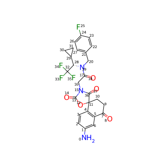 Nc1ccc2c(c1)C(=O)CCC21OC(=O)N(CC(=O)N(Cc2ccc(F)cc2)[C@@H](C2CC2)C(F)(F)F)C1=O